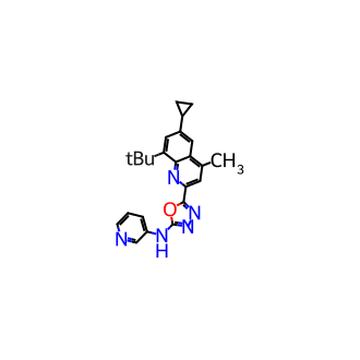 Cc1cc(-c2nnc(Nc3cccnc3)o2)nc2c(C(C)(C)C)cc(C3CC3)cc12